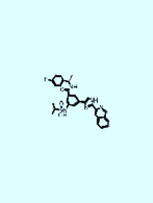 CC(C)S(=O)(=O)Nc1cc(C(=O)N[C@H](C)c2ccc(F)cc2)cc(-c2c[nH]c(-c3cc4ccccc4cn3)n2)c1